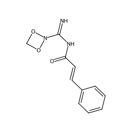 N=C(NC(=O)C=Cc1ccccc1)N1OCO1